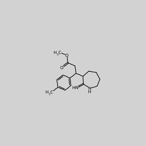 COC(=O)CC(c1ccc(C)cc1)C1CCCCNC1=N